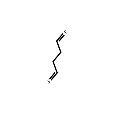 S=[C]CC[C]=S